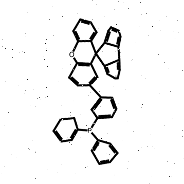 C1=CCCC(P(c2ccccc2)c2cccc(-c3ccc4c(c3)C3(c5ccccc5O4)c4ccccc4-c4ccccc43)c2)=C1